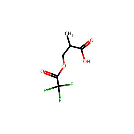 CC(COC(=O)C(F)(F)F)C(=O)O